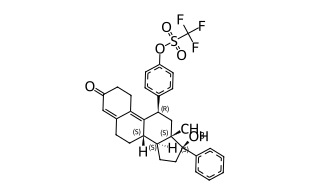 C[C@]12C[C@H](c3ccc(OS(=O)(=O)C(F)(F)F)cc3)C3=C4CCC(=O)C=C4CC[C@H]3[C@@H]1CC[C@@]2(O)c1ccccc1